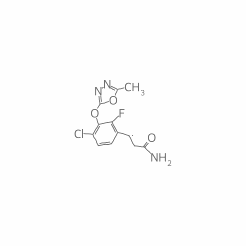 Cc1nnc(Oc2c(Cl)ccc([CH]CC(N)=O)c2F)o1